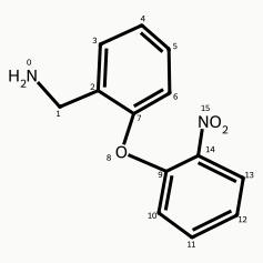 NCc1ccccc1Oc1ccccc1[N+](=O)[O-]